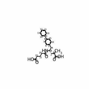 C[C@H](C[C@@H](Cc1ccc(-c2ccccc2)cc1)NC(=O)CCCC(=O)O)C(=O)O